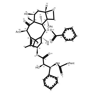 CCCCCC(=O)N[C@@H](c1ccccc1)[C@@H](O)C(=O)O[C@@H]1C[C@]2(O)[C@@H](OC(=O)c3ccccc3)[C@@H]3[C@]4(OC(C)=O)CO[C@H]4C[C@H](O)[C@@]3(C)C(=O)[C@H](OC(C)=O)C(=C1C)C2(C)C